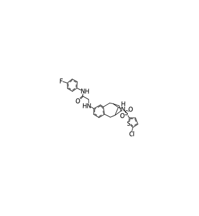 O=C(CNc1ccc2c(c1)CC1CCC(C2)C1NS(=O)(=O)c1ccc(Cl)s1)Nc1ccc(F)cc1